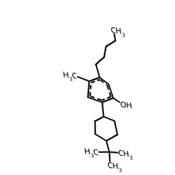 CCCCCc1cc(O)c(C2CCC(C(C)(C)C)CC2)cc1C